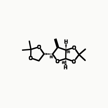 C=C1[C@H]2OC(C)(C)O[C@H]2O[C@@H]1C1COC(C)(C)O1